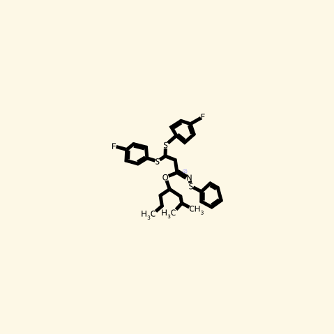 CCCC(CC(C)C)O/C(CC(Sc1ccc(F)cc1)Sc1ccc(F)cc1)=N\Sc1ccccc1